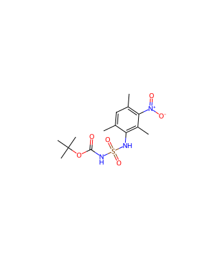 Cc1cc(C)c([N+](=O)[O-])c(C)c1NS(=O)(=O)NC(=O)OC(C)(C)C